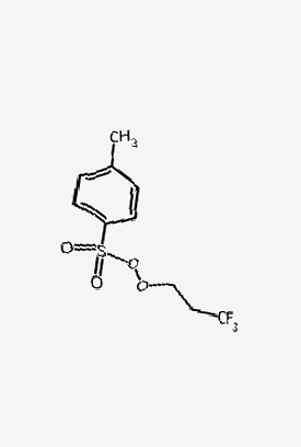 Cc1ccc(S(=O)(=O)OOCCC(F)(F)F)cc1